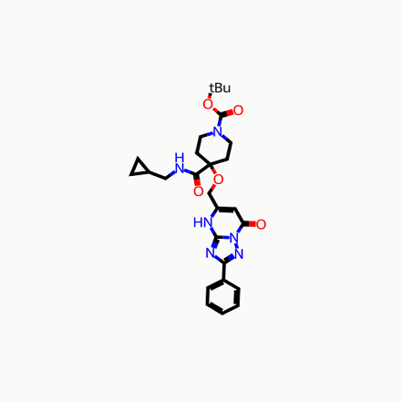 CC(C)(C)OC(=O)N1CCC(OCc2cc(=O)n3nc(-c4ccccc4)nc3[nH]2)(C(=O)NCC2CC2)CC1